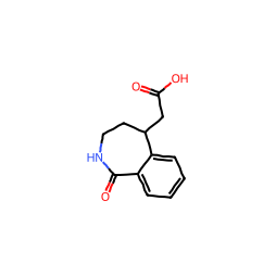 O=C(O)CC1CCNC(=O)c2ccccc21